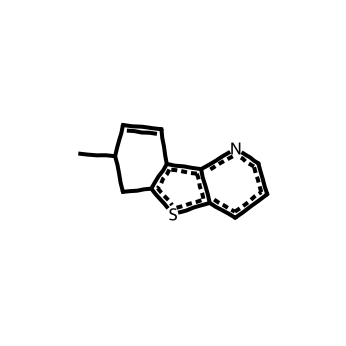 CC1C=Cc2c(sc3cccnc23)C1